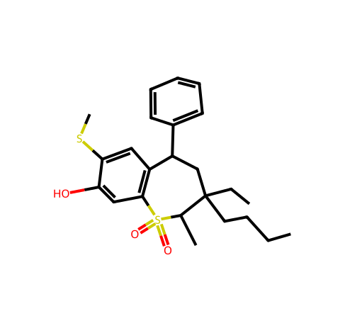 CCCCC1(CC)CC(c2ccccc2)c2cc(SC)c(O)cc2S(=O)(=O)C1C